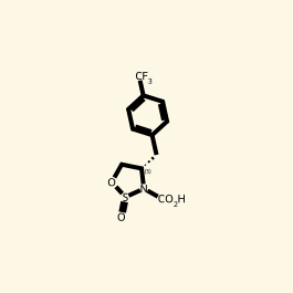 O=C(O)N1[C@@H](Cc2ccc(C(F)(F)F)cc2)COS1=O